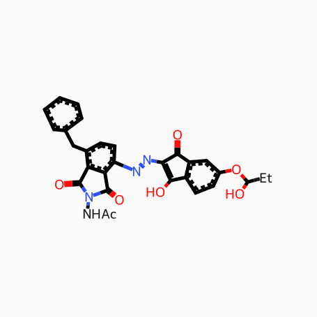 CCC(O)Oc1ccc2c(c1)C(=O)C(N=Nc1ccc(Cc3ccccc3)c3c1C(=O)N(NC(C)=O)C3=O)=C2O